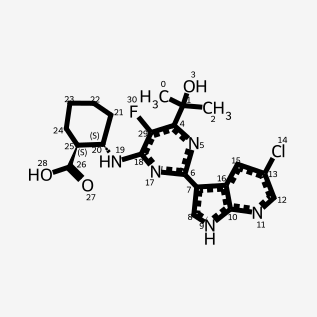 CC(C)(O)c1nc(-c2c[nH]c3ncc(Cl)cc23)nc(N[C@H]2CCCC[C@@H]2C(=O)O)c1F